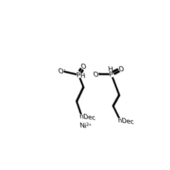 CCCCCCCCCCCC[PH](=O)[O-].CCCCCCCCCCCC[PH](=O)[O-].[Ni+2]